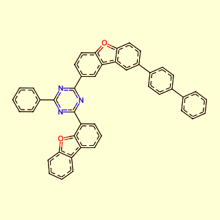 c1ccc(-c2ccc(-c3ccc4oc5ccc(-c6nc(-c7ccccc7)nc(-c7cccc8c7oc7ccccc78)n6)cc5c4c3)cc2)cc1